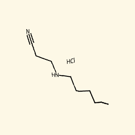 CCCCCNCCC#N.Cl